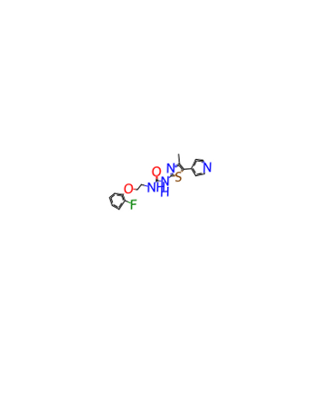 Cc1nc(NC(=O)NCCOc2ccccc2F)sc1-c1ccncc1